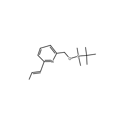 C/C=C/c1cccc(CO[Si](C)(C)C(C)(C)C)n1